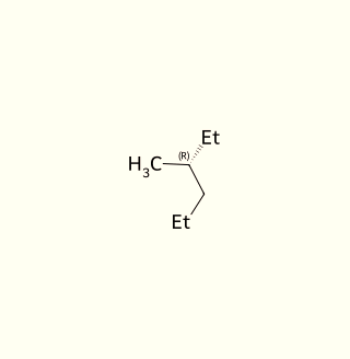 [CH2]C[C@@H](C)CCC